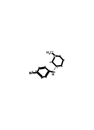 CN1CCC[C@H](Nc2ccc(Br)cc2)C1